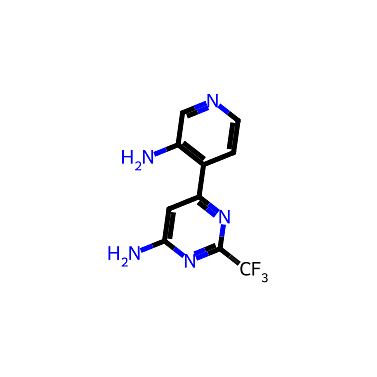 Nc1cc(-c2ccncc2N)nc(C(F)(F)F)n1